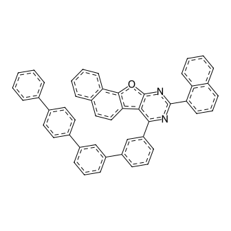 c1ccc(-c2ccc(-c3cccc(-c4cccc(-c5nc(-c6cccc7ccccc67)nc6oc7c8ccccc8ccc7c56)c4)c3)cc2)cc1